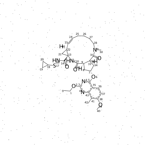 CCOc1nc(O[C@@H]2C[C@H]3C(=O)N[C@]4(C(=O)NSC5CC5)C[C@H]4/C=C\CCCCN(C)C(=O)[C@@H]3C2)c2ccc(OC)c(C)c2n1